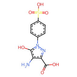 Nc1c(C(=O)O)nn(-c2ccc(S(=O)(=O)O)cc2)c1O